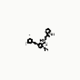 CC(C)Oc1ccc(C#Cc2cc(F)cc(F)c2)cc1C(=O)NCCc1c[nH]c2ccccc12